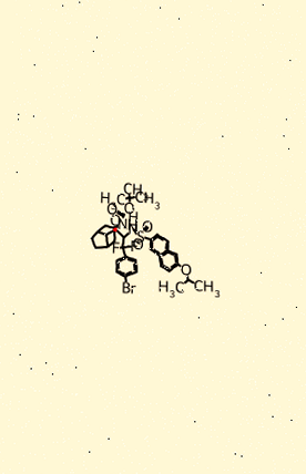 CC(C)Oc1ccc2cc(S(=O)(=O)NC(C(=O)C3C4CCC3CC(NC(=O)OC(C)(C)C)C4)C(F)(F)c3ccc(Br)cc3)ccc2c1